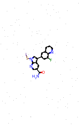 NC(=O)c1cnc2c(c1)c(-c1cc(F)c3ncccc3c1)cn2SI